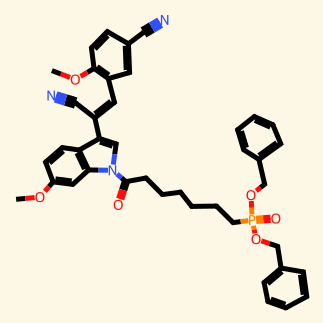 COc1ccc2c(/C(C#N)=C/c3cc(C#N)ccc3OC)cn(C(=O)CCCCCCP(=O)(OCc3ccccc3)OCc3ccccc3)c2c1